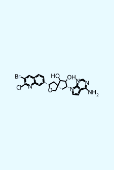 Nc1ncnc2c1ccn2[C@@H]1C[C@@]2(CO[C@H](c3ccc4cc(Br)c(Cl)nc4c3)C2)[C@@H](O)[C@H]1O